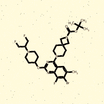 Cc1cc2c(N3CCC4(CC3)CN(C(=O)OC(C)(C)C)C4)nc(OC3CCN(C(CF)CF)CC3)nc2c(F)c1Br